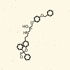 O=PC(Oc1ccc(CCNC[C@H](O)COc2ccc(OCc3ccccc3)cc2)cc1)(c1ccccc1)c1ccccc1